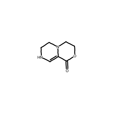 O=C1OCCN2CCNC=C12